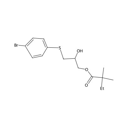 CCC(C)(C)C(=O)OCC(O)CSc1ccc(Br)cc1